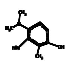 CCCCc1c(N(C)C)ccc(O)c1C